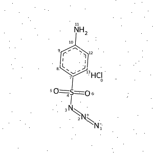 Cl.[N-]=[N+]=NS(=O)(=O)c1ccc(N)cc1